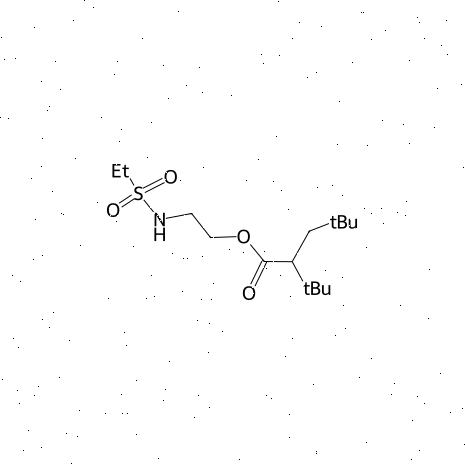 CCS(=O)(=O)NCCOC(=O)C(CC(C)(C)C)C(C)(C)C